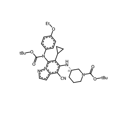 CCOc1ccc(N(C(=O)OC(C)(C)C)c2c(C3CC3)c(N[C@H]3CCCN(C(=O)OC(C)(C)C)C3)c(C#N)c3ccnn23)cc1